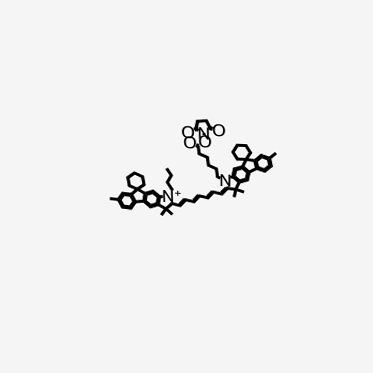 CCCC[N+]1=C(/C=C/C=C/C=C/C=C2\N(CCCCCC(=O)ON3C(=O)CCC3=O)c3cc4c(cc3C2(C)C)-c2ccc(C)cc2C42CCCCC2)C(C)(C)c2cc3c(cc21)C1(CCCCC1)c1cc(C)ccc1-3